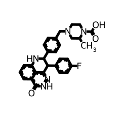 CC1CN(Cc2ccc(C3Nc4cccc5c(=O)[nH]nc(c45)C3c3ccc(F)cc3)cc2)CCN1C(=O)O